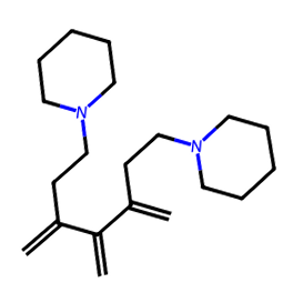 C=C(CCN1CCCCC1)C(=C)C(=C)CCN1CCCCC1